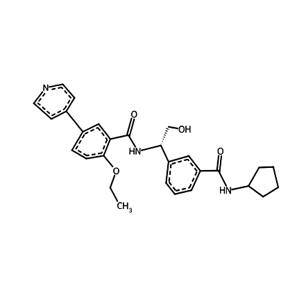 CCOc1ccc(-c2ccncc2)cc1C(=O)N[C@H](CO)c1cccc(C(=O)NC2CCCC2)c1